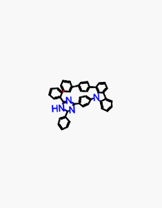 c1ccc(C2=NC(c3ccc(-n4c5ccccc5c5cccc(-c6ccc(-c7ccccc7)cc6)c54)cc3)=NC(c3ccccc3)N2)cc1